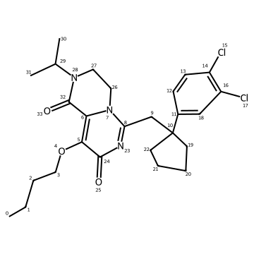 CCCCOc1c2n(c(CC3(c4ccc(Cl)c(Cl)c4)CCCC3)nc1=O)CCN(C(C)C)C2=O